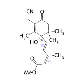 COC(=O)/C=C(C)\C=C\[C@@]1(O)C(C)=C(CC#N)C(=O)CC1(C)C